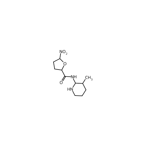 CC1CCCNC1NC(=O)C1CCC([N+](=O)[O-])O1